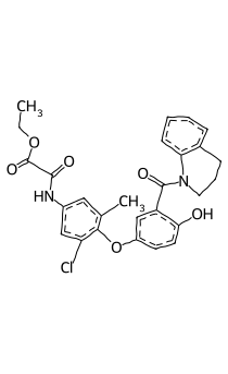 CCOC(=O)C(=O)Nc1cc(C)c(Oc2ccc(O)c(C(=O)N3CCCc4ccccc43)c2)c(Cl)c1